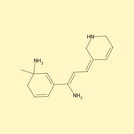 CC1(N)C=C(/C(N)=C/C=C2/C=CCNC2)C=CC1